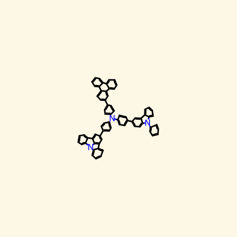 c1ccc(-n2c3ccccc3c3cc(-c4ccc(N(c5ccc(-c6ccc7c8ccccc8c8ccccc8c7c6)cc5)c5ccc(-c6cc7c8ccccc8n8c9ccccc9c(c6)c78)cc5)cc4)ccc32)cc1